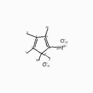 CC1=C(C)C(C)(C)[C]([Hf+2])=C1C.[Cl-].[Cl-]